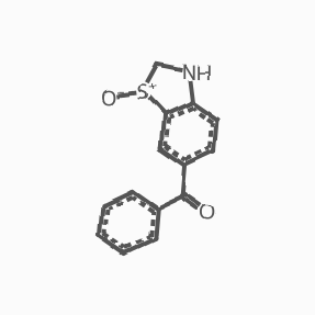 O=C(c1ccccc1)c1ccc2c(c1)[S+]([O-])CN2